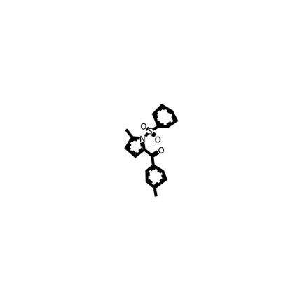 Cc1ccc(C(=O)c2ccc(C)n2S(=O)(=O)c2ccccc2)cc1